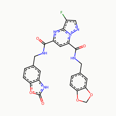 O=C(NCc1ccc2oc(=O)[nH]c2c1)c1cc(C(=O)NCc2ccc3c(c2)OCO3)n2ncc(F)c2n1